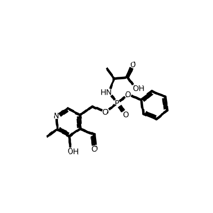 Cc1ncc(COP(=O)(NC(C)C(=O)O)Oc2ccccc2)c(C=O)c1O